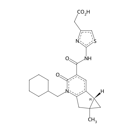 CC12Cc3c(cc(C(=O)Nc4nc(CC(=O)O)cs4)c(=O)n3CC3CCCCC3)[C@@H]1C2